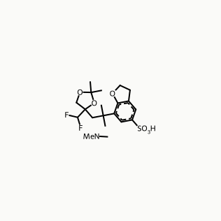 CC1(C)OCC(CC(C)(C)c2cc(S(=O)(=O)O)cc3c2OCC3)(C(F)F)O1.CNC